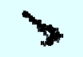 CC(C)(COP(=O)(O)OP(=O)(O)OCC1OC(C)(n2cnc3c(N)ncnc32)C(O)C1OP(=O)(O)O)C(O)C(=O)NCCC(=O)NCCSC(=O)C=CCC1CCCCC1